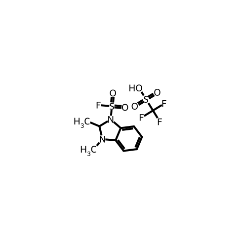 CC1N(C)c2ccccc2N1S(=O)(=O)F.O=S(=O)(O)C(F)(F)F